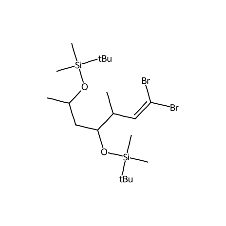 CC(CC(O[Si](C)(C)C(C)(C)C)C(C)C=C(Br)Br)O[Si](C)(C)C(C)(C)C